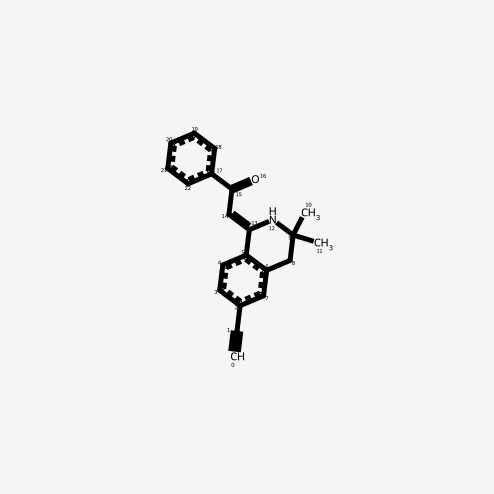 C#Cc1ccc2c(c1)CC(C)(C)NC2=CC(=O)c1ccccc1